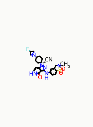 CN1Cc2cc(Nc3nn([C@]4(CC#N)CC[C@H](N5CC(F)C5)CC4)c4cc[nH]c(=O)c34)ccc2S1(=O)=O